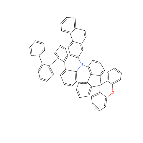 c1ccc(-c2ccccc2-c2ccccc2-c2ccccc2N(c2ccc3c(ccc4ccccc43)c2)c2cccc3c2-c2ccccc2C32c3ccccc3Oc3ccccc32)cc1